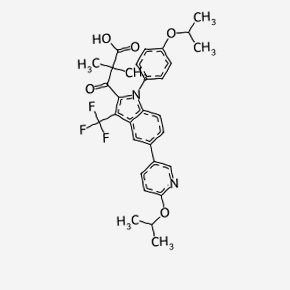 CC(C)Oc1ccc(-n2c(C(=O)C(C)(C)C(=O)O)c(C(F)(F)F)c3cc(-c4ccc(OC(C)C)nc4)ccc32)cc1